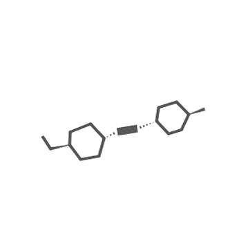 CC[C@H]1CC[C@H](C#C[C@H]2CC[C@H](C)CC2)CC1